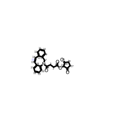 O=C(CCC(=O)N1Cc2ccccc2/C=C\c2ccccc21)OC1C(=O)CCC1=O